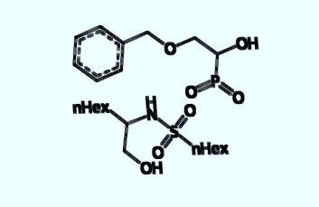 CCCCCCC(CO)NS(=O)(=O)CCCCCC.O=P(=O)C(O)COCc1ccccc1